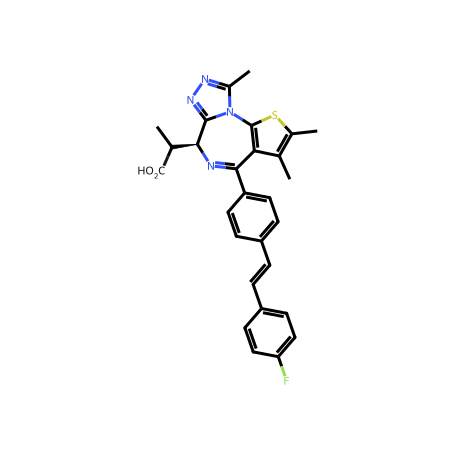 Cc1sc2c(c1C)C(c1ccc(C=Cc3ccc(F)cc3)cc1)=N[C@@H](C(C)C(=O)O)c1nnc(C)n1-2